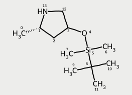 C[C@H]1CC(O[Si](C)(C)C(C)(C)C)CN1